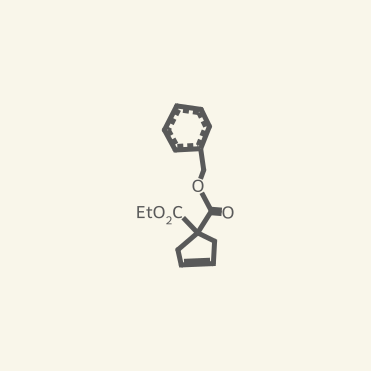 CCOC(=O)C1(C(=O)OCc2ccccc2)CC=CC1